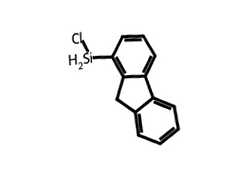 Cl[SiH2]c1cccc2c1Cc1ccccc1-2